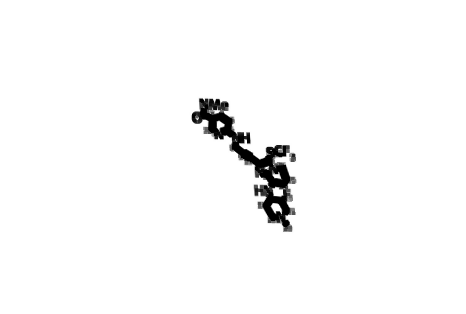 CNC(=O)c1ccc(NCC#Cc2nc3c(N[C@@H]4CCN(C)C[C@@H]4F)cccn3c2SC(F)(F)F)nc1